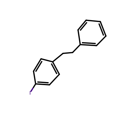 Ic1ccc(CCc2ccccc2)cc1